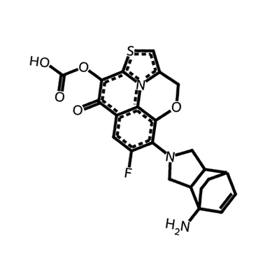 NC12C=CC(CC1)C1CN(c3c(F)cc4c(=O)c(OC(=O)O)c5scc6n5c4c3OC6)CC12